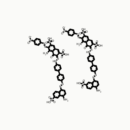 Nc1c(N=Nc2ccc([N+](=O)[O-])cc2)c(S(=O)(=O)O)cc2c1C(=O)/C(=N\Nc1ccc(-c3ccc(N=Nc4ccc(N)c5cc(S(=O)(=O)O)ccc45)cc3)cc1)C(S(=O)(=O)O)=C2.Nc1c(N=Nc2ccc([N+](=O)[O-])cc2)c(S(=O)(=O)O)cc2c1C(=O)/C(=N\Nc1ccc(-c3ccc(N=Nc4ccc(N)c5ccc(S(=O)(=O)O)cc45)cc3)cc1)C(S(=O)(=O)O)=C2